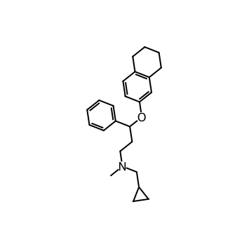 CN(CCC(Oc1ccc2c(c1)CCCC2)c1ccccc1)CC1CC1